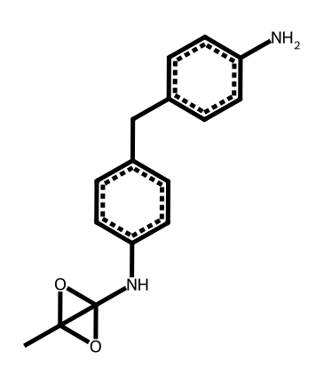 CC12OC1(Nc1ccc(Cc3ccc(N)cc3)cc1)O2